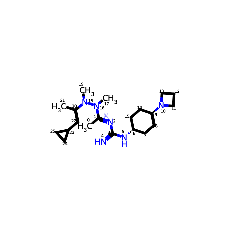 C/C(=N\C(=N)N[C@H]1CC[C@H](N2CCC2)CC1)N(C)N(C)C(C)CC1CC1